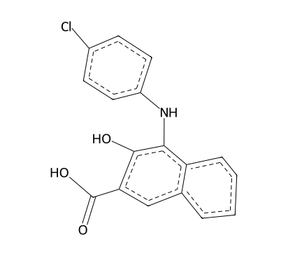 O=C(O)c1cc2ccccc2c(Nc2ccc(Cl)cc2)c1O